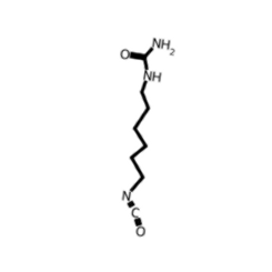 NC(=O)NCCCCCCN=C=O